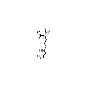 CN[C@@H](CCCNCN)C(C)=O